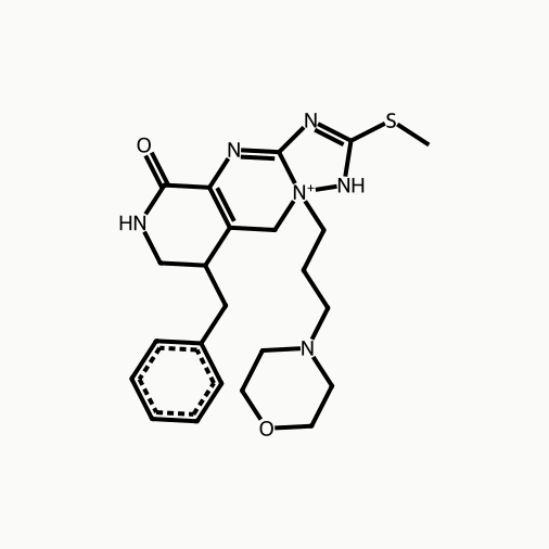 CSC1=NC2=NC3=C(C[N+]2(CCCN2CCOCC2)N1)C(Cc1ccccc1)CNC3=O